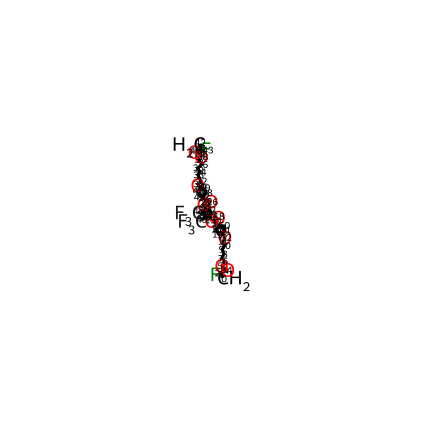 C=C(F)C(=O)OCCCCCCOc1ccc(C(=O)Oc2ccc(OC(=O)c3ccc(OCCCCCCOC(=O)C(=C)F)cc3)c(C(F)(F)F)c2C(F)(F)F)cc1